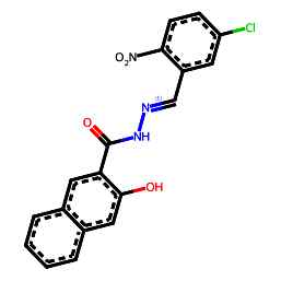 O=C(N/N=C/c1cc(Cl)ccc1[N+](=O)[O-])c1cc2ccccc2cc1O